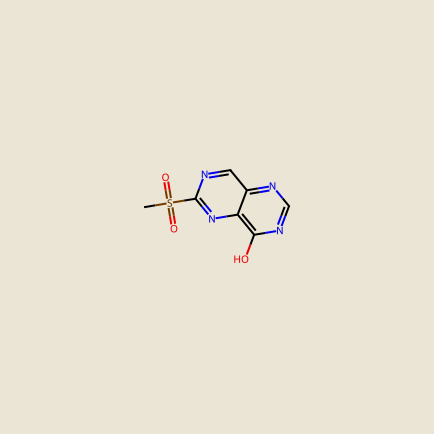 CS(=O)(=O)c1ncc2ncnc(O)c2n1